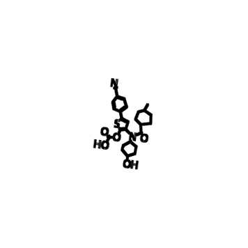 CC1CCC(C(=O)N(c2cc(-c3ccc(C#N)cc3)sc2OC(=O)O)C2CCC(O)CC2)CC1